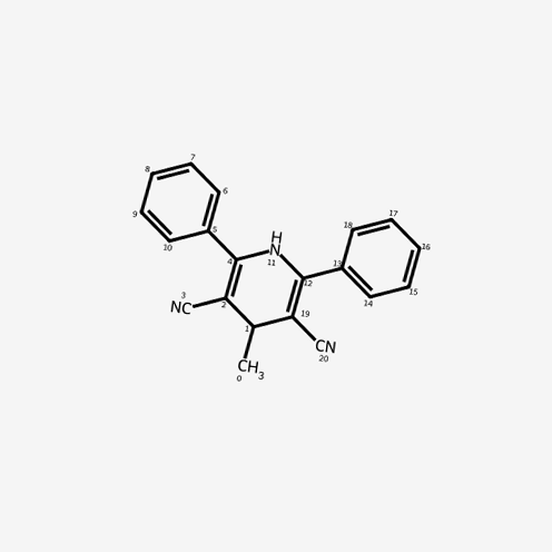 CC1C(C#N)=C(c2ccccc2)NC(c2ccccc2)=C1C#N